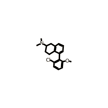 COc1cccc(Cl)c1-c1cccc2c1CCC(N(C)C)C2